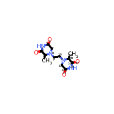 CC1C(=O)NC(=O)CN1CCN1CC(=O)NC(=O)C1C